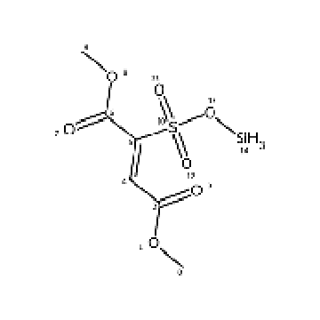 COC(=O)/C=C(/C(=O)OC)S(=O)(=O)O[SiH3]